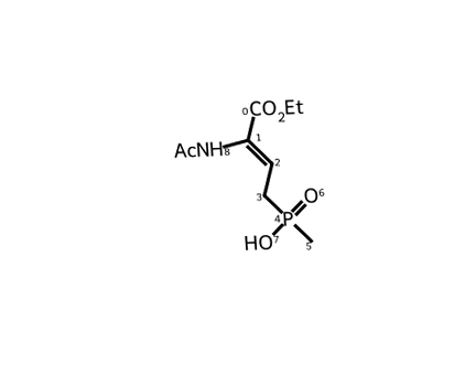 CCOC(=O)/C(=C/CP(C)(=O)O)NC(C)=O